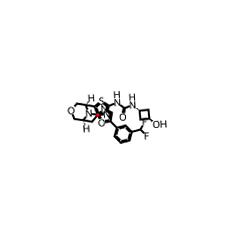 O=C(Nc1nc2c(s1)[C@@H]1COC[C@H](C2)N1c1ncc(-c2cccc(C(F)F)c2)o1)N[C@H]1C[C@H](O)C1